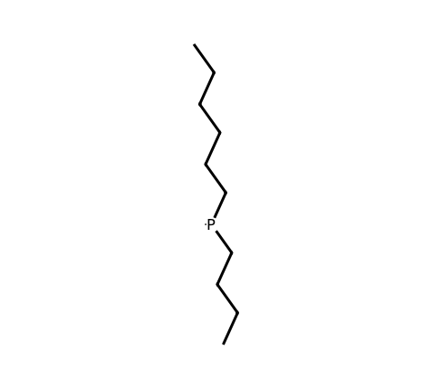 CCCCCC[P]CCCC